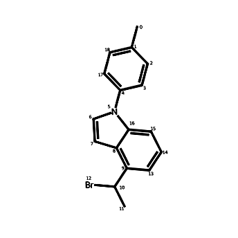 Cc1ccc(-n2ccc3c(C(C)Br)cccc32)cc1